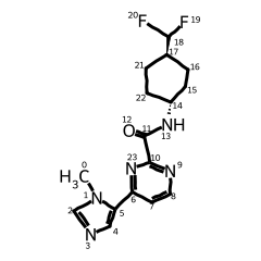 Cn1cncc1-c1ccnc(C(=O)N[C@H]2CC[C@H](C(F)F)CC2)n1